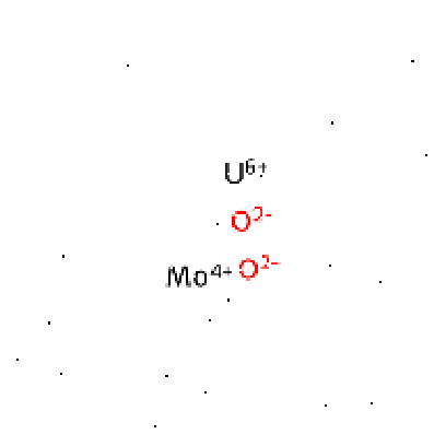 [Mo+4].[O-2].[O-2].[U+6]